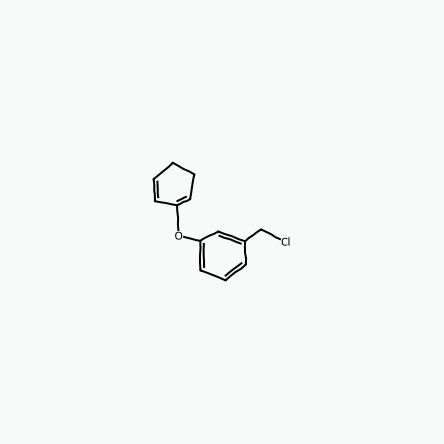 ClCc1cccc(OC2=CCCC=C2)c1